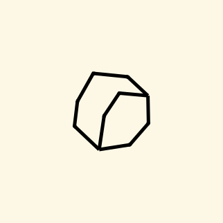 C1CCC2CCC(C1)CC2